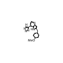 COc1ccc(Cc2cc3nccc(-c4nnn[nH]4)c3[nH]2)cc1